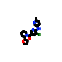 Cc1ccc(Nc2ncc(C(=O)N3CCCCC3C3CCCO3)cc2Cl)cn1